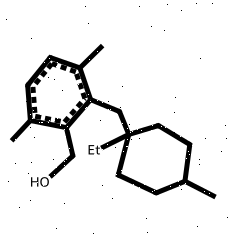 CCC1(Cc2c(C)ccc(C)c2CO)CCC(C)CC1